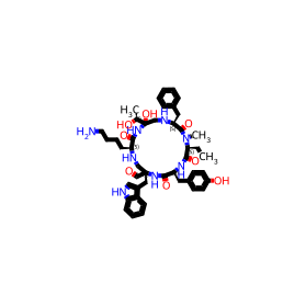 CC[C@H]1C(=O)N[C@@H](Cc2ccc(O)cc2)C(=O)N[C@@](C=O)(Cc2c[nH]c3ccccc23)CN[C@@H](CCCCN)C(=O)NC(O)([C@@H](C)O)CN[C@@H](Cc2ccccc2)C(=O)N1C